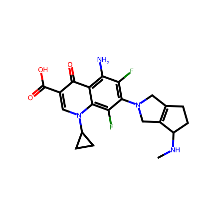 CNC1CCC2=C1CN(c1c(F)c(N)c3c(=O)c(C(=O)O)cn(C4CC4)c3c1F)C2